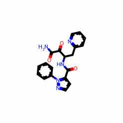 NC(=O)C(=O)C(Cc1ccccn1)NC(=O)c1ccnn1-c1ccccc1